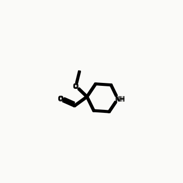 COC1(C=O)CCNCC1